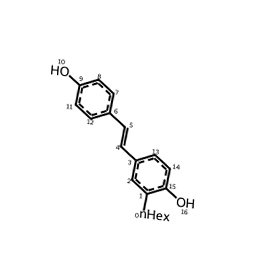 CCCCCCc1cc(C=Cc2ccc(O)cc2)ccc1O